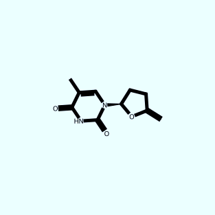 C=C1CC[C@H](n2cc(C)c(=O)[nH]c2=O)O1